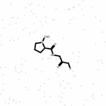 O=CN1CCCC1C(=O)NCC(=O)CF